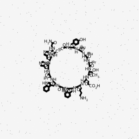 CC[C@H](C)[C@@H]1NC(=O)[C@H](Cc2ccccc2)NC(=O)[C@H](CCCCN)NC(=O)[C@H](CCC(=O)O)NC(=O)[C@H]([C@@H](C)O)NC(=O)[C@H](C(C)C)NC(=O)[C@H]([C@@H](C)CC)NC(=O)[C@H]([C@@H](C)CC)NC(=O)[C@@H](Cc2ccc(O)cc2)NC(=O)CSC[C@@H](C(=O)NCC(N)=O)NC(=O)[C@H](Cc2cnc[nH]2)NC(=O)[C@H](Cc2cnc[nH]2)NC(=O)[C@H](C(C)C)NC(=O)[C@H](Cc2c[nH]c3ccccc23)NC1=O